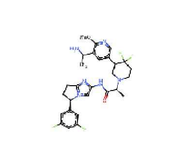 COc1ncc(C2CN([C@@H](C)C(=O)Nc3cn4c(n3)CC[C@@H]4c3cc(F)cc(F)c3)CCC2(F)F)cc1C(N)C(F)(F)F